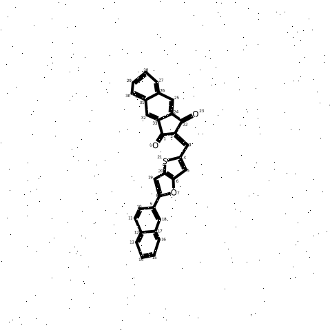 O=C1C(=Cc2cc3oc(-c4ccc5ccccc5c4)cc3s2)C(=O)c2cc3ccccc3cc21